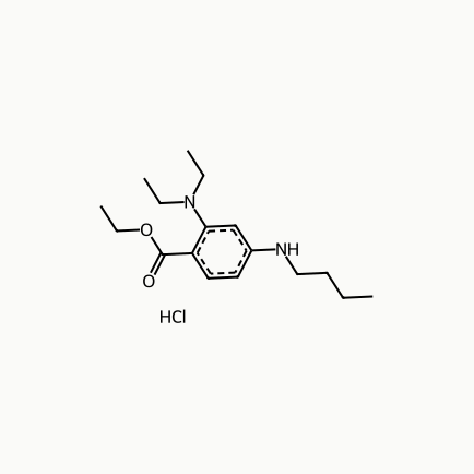 CCCCNc1ccc(C(=O)OCC)c(N(CC)CC)c1.Cl